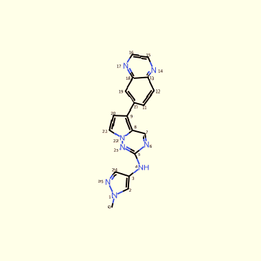 Cn1cc(Nc2ncc3c(-c4ccc5nccnc5c4)ccn3n2)cn1